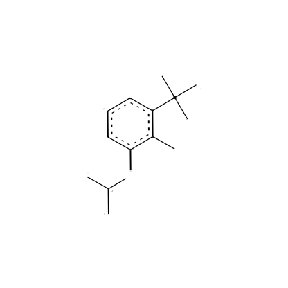 Cc1c(OC(C)C)cccc1C(C)(C)C